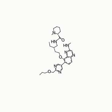 CCCOCc1ncc(-c2ccc3ncc(NC)nc3c2OCCC(CC)CNC(=O)[C@@H]2CCCCN2C)cn1